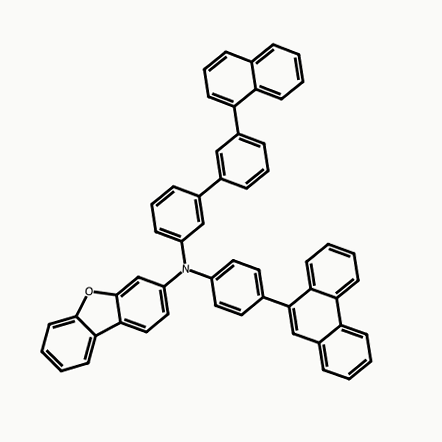 c1cc(-c2cccc(N(c3ccc(-c4cc5ccccc5c5ccccc45)cc3)c3ccc4c(c3)oc3ccccc34)c2)cc(-c2cccc3ccccc23)c1